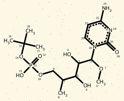 COC(C(O)C(O)C(C)COP(=O)(O)OC(C)(C)C)n1ccc(N)nc1=O